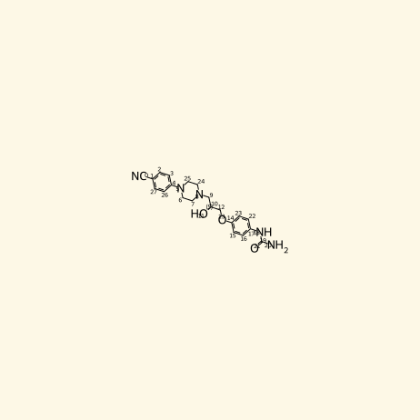 N#Cc1ccc(N2CCN(C[C@H](O)COc3ccc(NC(N)=O)cc3)CC2)cc1